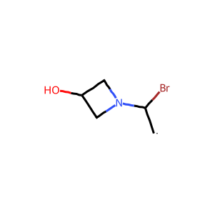 [CH2]C(Br)N1CC(O)C1